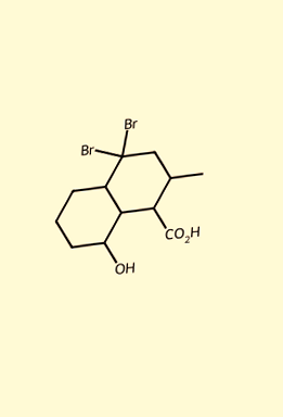 CC1CC(Br)(Br)C2CCCC(O)C2C1C(=O)O